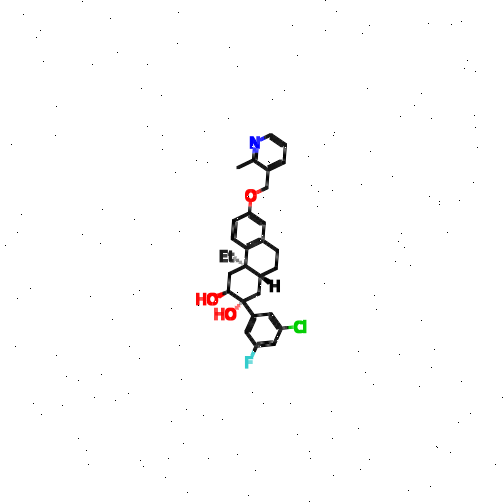 CC[C@@]12C[C@H](O)[C@](O)(c3cc(F)cc(Cl)c3)C[C@H]1CCc1cc(OCc3cccnc3C)ccc12